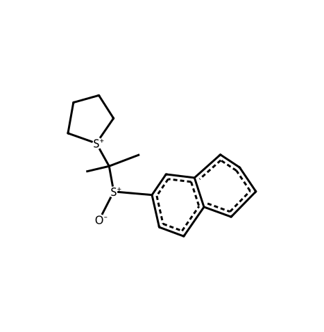 CC(C)([S+]1CCCC1)[S+]([O-])c1ccc2ccccc2c1